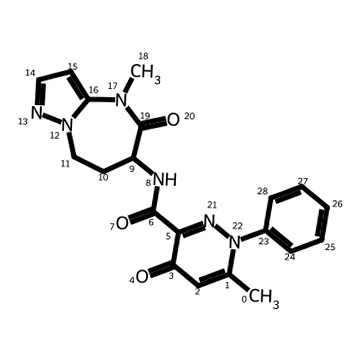 Cc1cc(=O)c(C(=O)NC2CCn3nccc3N(C)C2=O)nn1-c1ccccc1